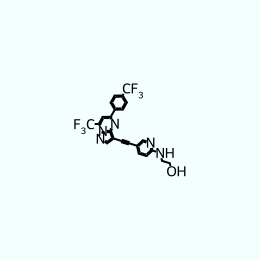 OCCNc1ccc(C#Cc2cnn3c(C(F)(F)F)cc(-c4ccc(C(F)(F)F)cc4)nc23)cn1